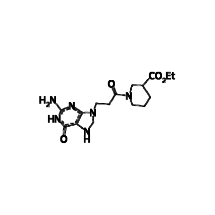 CCOC(=O)C1CCCN(C(=O)CCN2CNc3c2nc(N)[nH]c3=O)C1